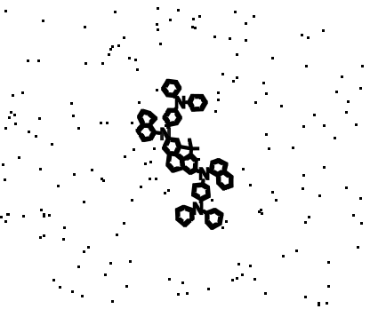 CC1(C)c2cc(N(c3ccc(N(c4ccccc4)c4ccccc4)cc3)c3cccc4ccccc34)cc3ccc4cc(N(c5ccc(N(c6ccccc6)c6ccccc6)cc5)c5cccc6ccccc56)cc1c4c23